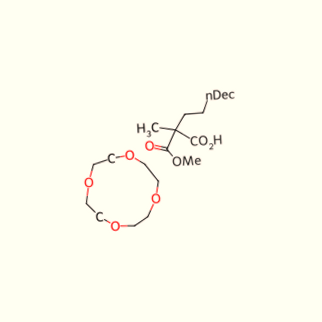 C1COCCOCCOCCO1.CCCCCCCCCCCCC(C)(C(=O)O)C(=O)OC